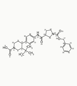 CC(C)(C)C1CN(C(=O)O)CCC1c1ccc(NC(=O)C2CCN(C(=O)OCc3ccccc3)C2)cc1